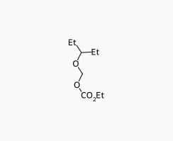 CCOC(=O)OCOC(CC)CC